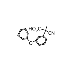 CC(C#N)(C(=O)O)c1cccc(Oc2ccccc2)c1